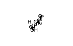 C=C(CC=CC(=O)O)C(=O)OCC1CO1